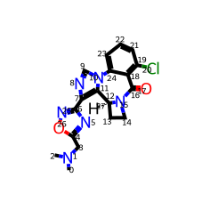 CN(C)Cc1nc(-c2ncn3c2[C@@H]2CCN2C(=O)c2c(Cl)cccc2-3)no1